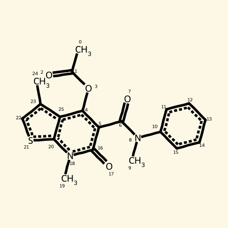 CC(=O)Oc1c(C(=O)N(C)c2ccccc2)c(=O)n(C)c2scc(C)c12